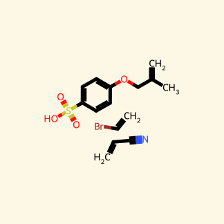 C=C(C)COc1ccc(S(=O)(=O)O)cc1.C=CBr.C=CC#N